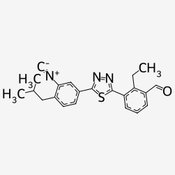 [C-]#[N+]c1cc(-c2nnc(-c3cccc(C=O)c3CC)s2)ccc1CC(C)C